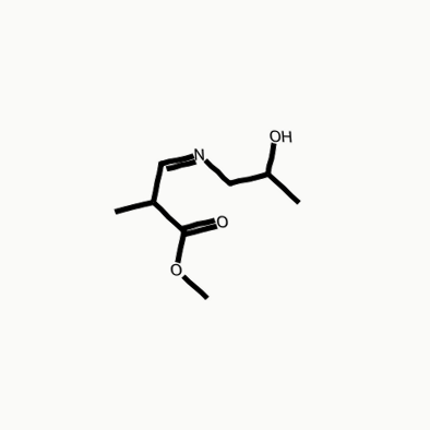 COC(=O)C(C)/C=N\CC(C)O